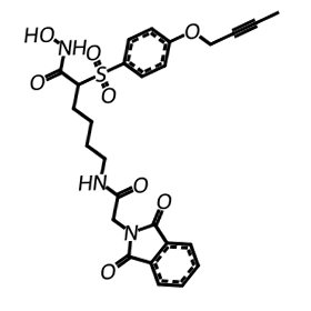 CC#CCOc1ccc(S(=O)(=O)C(CCCCNC(=O)CN2C(=O)c3ccccc3C2=O)C(=O)NO)cc1